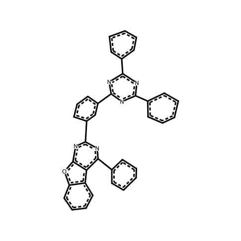 c1ccc(-c2nc(-c3ccccc3)nc(-c3cccc(-c4nc(-c5ccccc5)c5c(n4)oc4ccccc45)c3)n2)cc1